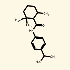 CC(O)c1ccc(NC(=O)C2C(C)CCCC2(C)C)cc1